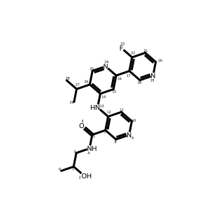 CC(O)CNC(=O)c1cnccc1Nc1cc(-c2cnccc2F)ncc1C(C)C